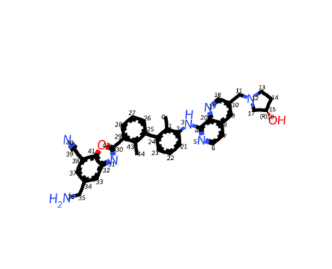 Cc1c(Nc2nccc3cc(CN4CC[C@@H](O)C4)cnc23)cccc1-c1cccc(-c2nc3cc(CN)cc(C#N)c3o2)c1C